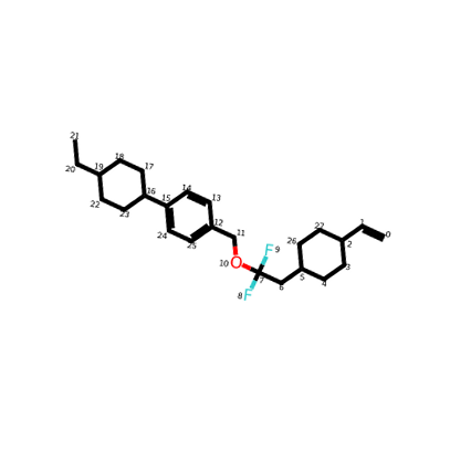 C=CC1CCC(CC(F)(F)OCc2ccc(C3CCC(CC)CC3)cc2)CC1